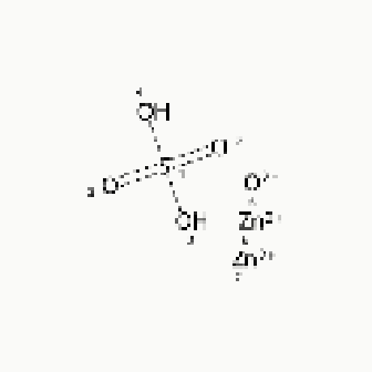 O=S(=O)(O)O.[O-2].[Zn+2].[Zn+2]